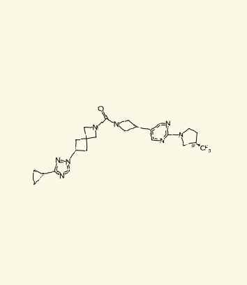 O=C(N1CC(c2cnc(N3CC[C@@H](C(F)(F)F)C3)nc2)C1)N1CC2(CC(n3cnc(C4CC4)n3)C2)C1